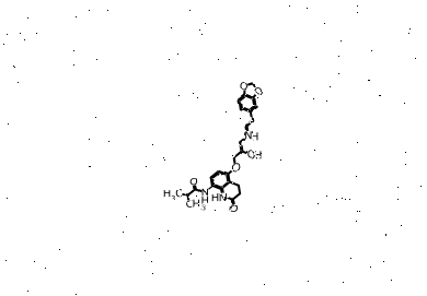 CC(C)C(=O)Nc1ccc(OCC(O)CNCCc2ccc3c(c2)OCO3)c2c1NC(=O)CC2